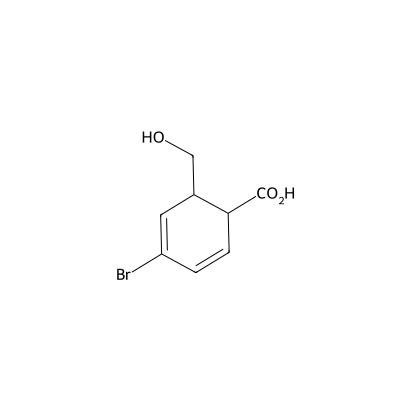 O=C(O)C1C=CC(Br)=CC1CO